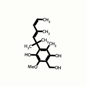 C/C=C\C(C)=C\C(C)(C)c1c(C)c(O)c(CO)c(OC)c1O